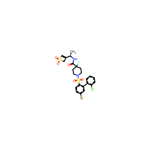 C[C@@H](NC(=O)C1(F)CCN(S(=O)(=O)c2ccc(Br)cc2-c2ccccc2Cl)CC1)C1=CS(=O)(=O)C1